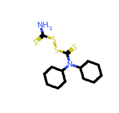 NC(=S)SSC(=S)N(C1CCCCC1)C1CCCCC1